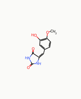 COc1ccc(/C=C2/NC(=O)NC2=O)cc1O